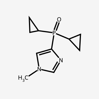 Cn1cnc(P(=O)(C2CC2)C2CC2)c1